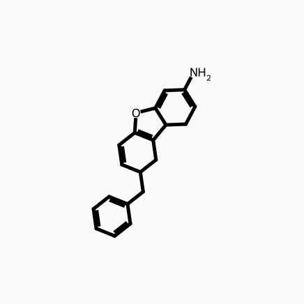 NC1=CCC2C(=C1)OC1=C2CC(Cc2ccccc2)C=C1